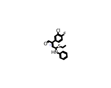 CCSC(/C=C(/C=O)c1ccc(F)c(Cl)c1)Nc1ccccc1